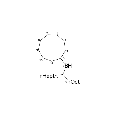 CCCCCCCCC(BC1CCCCCCCC1)CCCCCCC